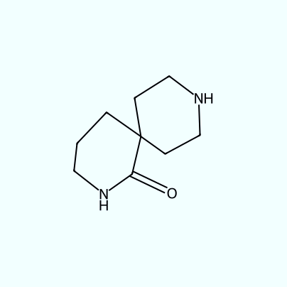 O=C1NCCCC12CCNCC2